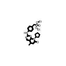 CCOP(=O)(Cc1ccc(Nc2ncc3c(C)cc(=O)n(C4CCCC4)c3n2)cc1)OCC